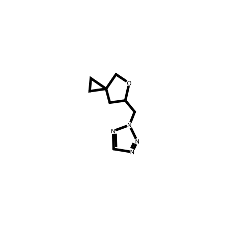 c1nnn(CC2CC3(CC3)CO2)n1